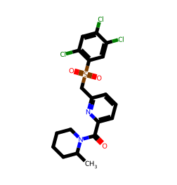 CC1CCCCN1C(=O)c1cccc(CS(=O)(=O)c2cc(Cl)c(Cl)cc2Cl)n1